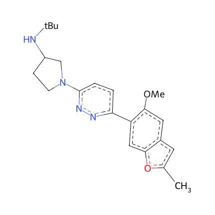 COc1cc2cc(C)oc2cc1-c1ccc(N2CCC(NC(C)(C)C)C2)nn1